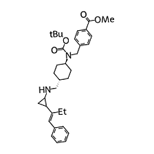 CC/C(=C\c1ccccc1)C1CC1NC[C@H]1CC[C@H](N(Cc2ccc(C(=O)OC)cc2)C(=O)OC(C)(C)C)CC1